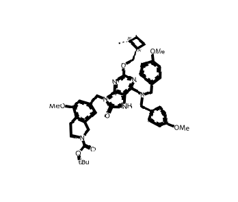 COc1ccc(CN(Cc2ccc(OC)cc2)c2nc(OC[C@@H]3CC[C@H]3C)nc3c2[nH]c(=O)n3Cc2cc3c(c(OC)c2)CCN(C(=O)OC(C)(C)C)C3)cc1